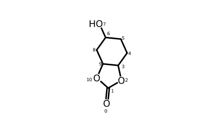 O=C1OC2CCC(O)CC2O1